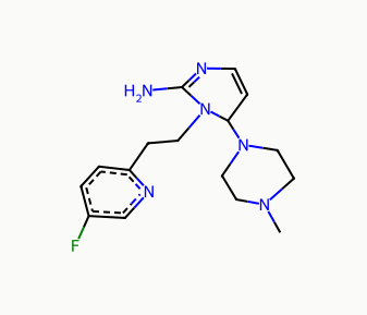 CN1CCN(C2C=CN=C(N)N2CCc2ccc(F)cn2)CC1